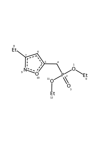 CCOP(=O)(Cc1cc(CC)no1)OCC